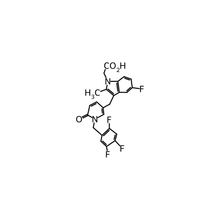 Cc1c(Cc2ccc(=O)n(Cc3cc(F)c(F)cc3F)c2)c2cc(F)ccc2n1CC(=O)O